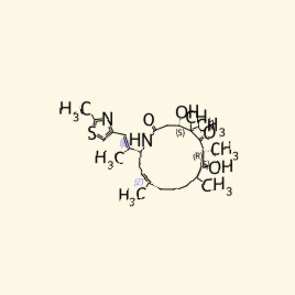 C/C1=C/CC(/C(C)=C/c2csc(C)n2)NC(=O)C[C@H](O)C(C)(C)C(=O)[C@H](C)[C@@H](O)C(C)CCC1